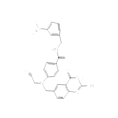 C#CCN(Cc1ccc2nc(C)[nH]c(=O)c2c1)c1ccc(C(=O)NCc2cccc([N+](=O)[O-])c2)cc1